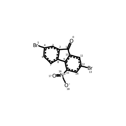 O=C1c2cc(Br)ccc2-c2c1cc(Br)cc2[N+](=O)[O-]